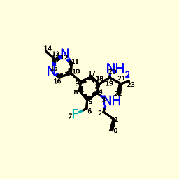 C=CCNc1c(CF)cc(-c2cnc(C)nc2)cc1C(N)C(=C)C